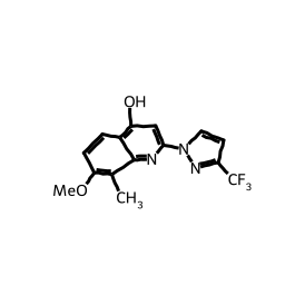 COc1ccc2c(O)cc(-n3ccc(C(F)(F)F)n3)nc2c1C